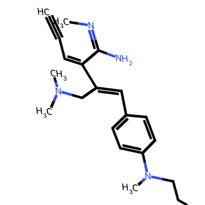 C#C/C=C(C(=C/c1ccc(N(C)CCF)cc1)/CN(C)C)\C(N)=N/C